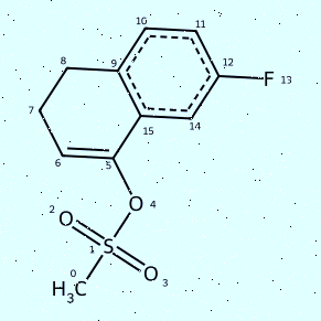 CS(=O)(=O)OC1=CCCc2ccc(F)cc21